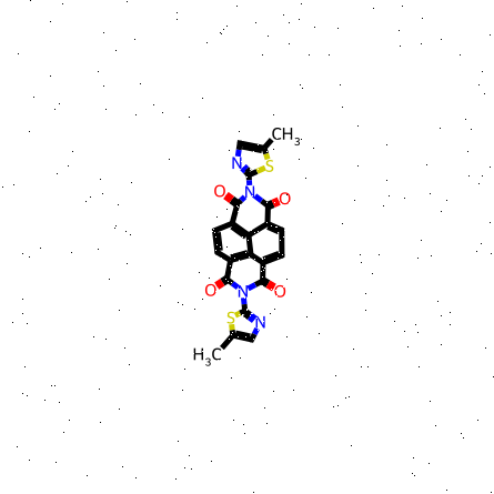 Cc1cnc(N2C(=O)c3ccc4c5c(ccc(c35)C2=O)C(=O)N(c2ncc(C)s2)C4=O)s1